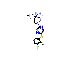 CC1(N)CCN(c2cnc(Sc3cccc(F)c3Cl)cn2)CC1